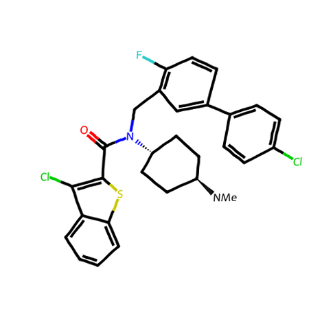 CN[C@H]1CC[C@H](N(Cc2cc(-c3ccc(Cl)cc3)ccc2F)C(=O)c2sc3ccccc3c2Cl)CC1